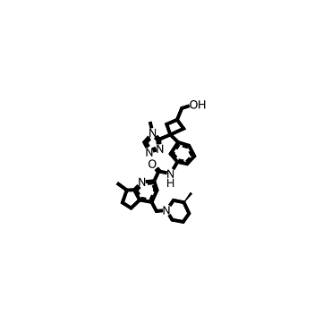 CC1CCc2c(CN3CCC[C@H](C)C3)cc(C(=O)Nc3cccc(C4(c5nncn5C)CC(CO)C4)c3)nc21